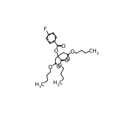 CCCCOC(=O)CC(CC(=O)OCCCC)(OC(=O)c1ccc(F)cc1)C(=O)OCCCC